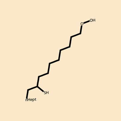 CCCCCCCCC(S)CCCCCCCCOO